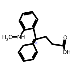 CNc1ccccc1/C(CCC(=O)O)=C1/C=CC=CC1